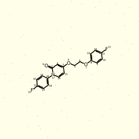 O=c1cc(OCCOc2ccc(F)cc2)ccn1-c1ccc(F)cc1